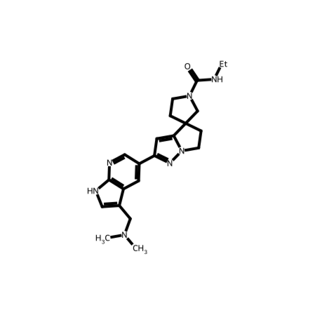 CCNC(=O)N1CCC2(CCn3nc(-c4cnc5[nH]cc(CN(C)C)c5c4)cc32)C1